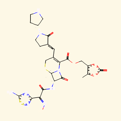 Cc1oc(=O)oc1COC(=O)C1=C(C=C2CCN([C@@H]3CCNC3)C2=O)CS[C@@H]2[C@H](NC(=O)C(=NO)c3nsc(N)n3)C(=O)N12.Cl